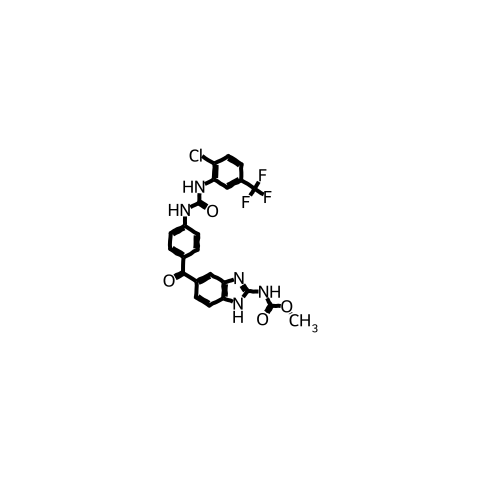 COC(=O)Nc1nc2cc(C(=O)c3ccc(NC(=O)Nc4cc(C(F)(F)F)ccc4Cl)cc3)ccc2[nH]1